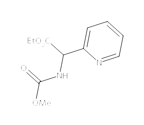 CCOC(=O)C(NC(=O)OC)c1ccccn1